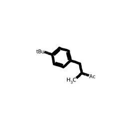 CC(=O)C(C)Cc1ccc(C(C)(C)C)cc1